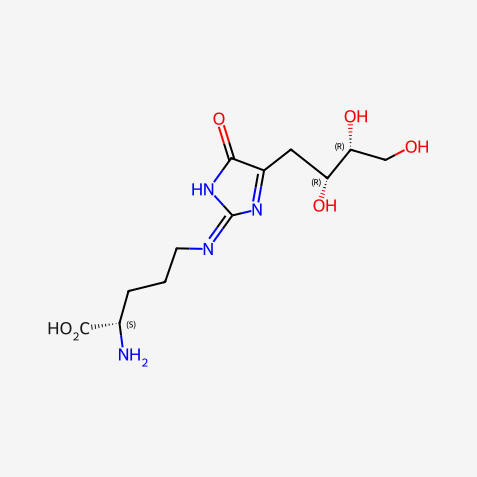 N[C@@H](CCCN=C1N=C(C[C@@H](O)[C@H](O)CO)C(=O)N1)C(=O)O